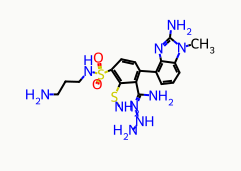 Cn1c(N)nc2c(-c3ccc(S(=O)(=O)NCCCN)c(SN)c3/C(N)=N/NN)cccc21